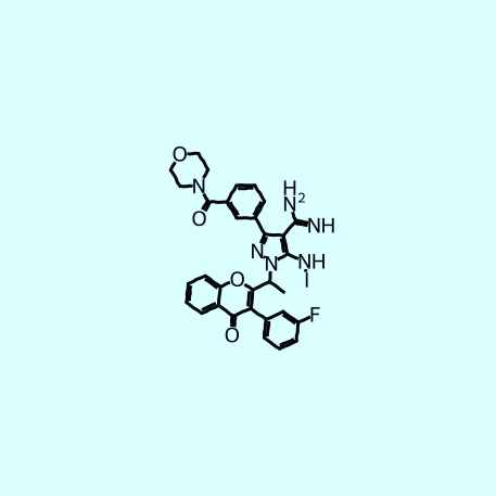 CC(c1oc2ccccc2c(=O)c1-c1cccc(F)c1)n1nc(-c2cccc(C(=O)N3CCOCC3)c2)c(C(=N)N)c1NI